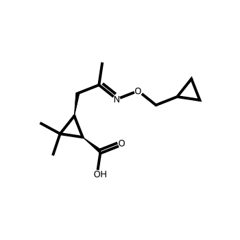 CC(C[C@H]1[C@@H](C(=O)O)C1(C)C)=NOCC1CC1